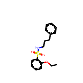 CCOc1ccccc1S(=O)(=O)NCCCc1ccccc1